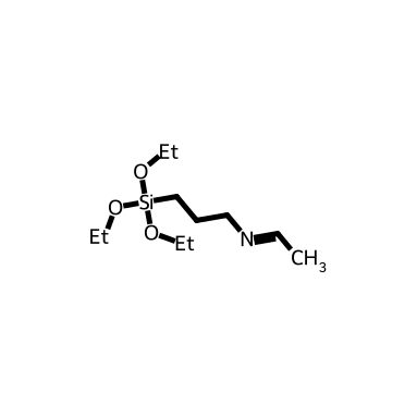 CC=NCCC[Si](OCC)(OCC)OCC